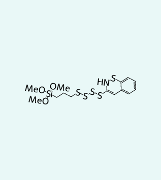 CO[Si](CCCSSSSC1=Cc2ccccc2SN1)(OC)OC